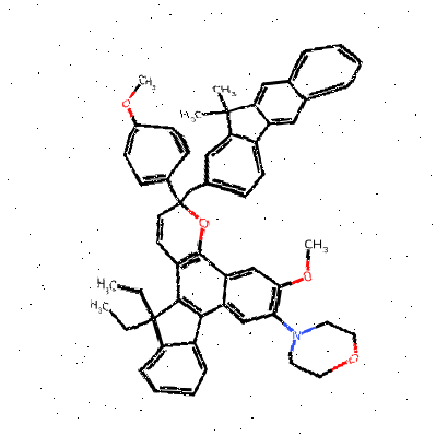 CCC1(CC)c2ccccc2-c2c1c1c(c3cc(OC)c(N4CCOCC4)cc23)OC(c2ccc(OC)cc2)(c2ccc3c(c2)C(C)(C)c2cc4ccccc4cc2-3)C=C1